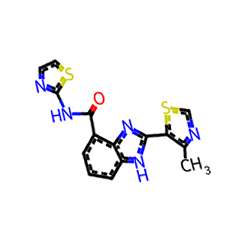 Cc1ncsc1-c1nc2c(C(=O)Nc3nccs3)cccc2[nH]1